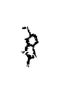 [CH2]CCCc1ccc2oc(=O)[nH]c2c1